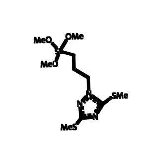 CO[Si](CCCn1nc(SC)nc1SC)(OC)OC